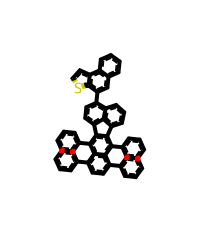 c1ccc(-c2ccc(-c3ccccc3)c3c(-c4ccccc4)c4c(c(-c5ccccc5)c23)-c2cccc3c(-c5cc6ccccc6c6ccsc56)ccc-4c23)cc1